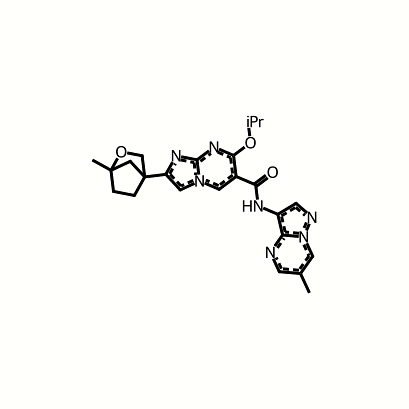 Cc1cnc2c(NC(=O)c3cn4cc(C56CCC(C)(C5)OC6)nc4nc3OC(C)C)cnn2c1